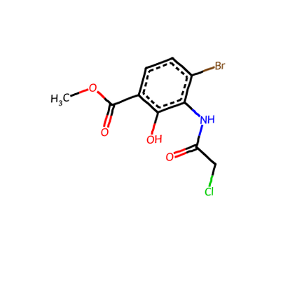 COC(=O)c1ccc(Br)c(NC(=O)CCl)c1O